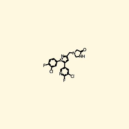 O=C1CN(Cc2cc(-c3cnc(F)c(Cl)c3)n(-c3ccc(F)c(Cl)c3)n2)CN1